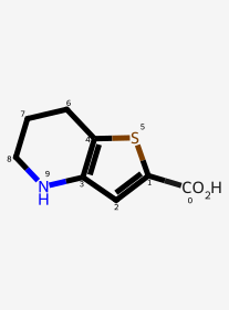 O=C(O)c1cc2c(s1)CCCN2